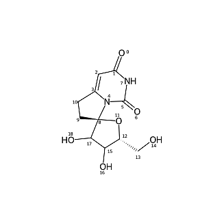 O=c1cc2n(c(=O)[nH]1)[C@]1(CC2)O[C@H](CO)C(O)C1O